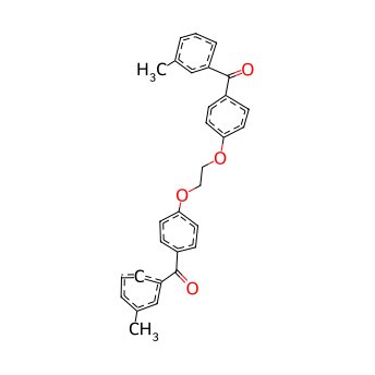 Cc1cccc(C(=O)c2ccc(OCCOc3ccc(C(=O)c4cccc(C)c4)cc3)cc2)c1